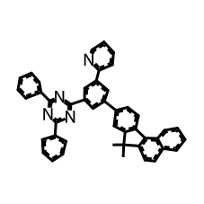 CC1(C)c2cc(-c3cc(-c4ccccn4)cc(-c4nc(-c5ccccc5)nc(-c5ccccc5)n4)c3)ccc2-c2c1ccc1ccccc21